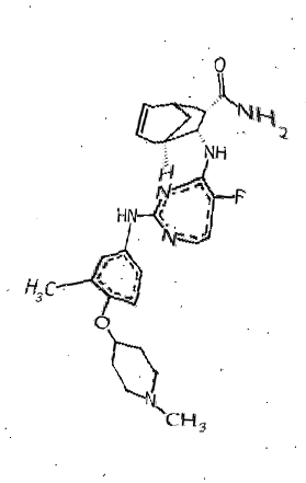 Cc1cc(Nc2ncc(F)c(N[C@@H]3[C@H]4C=CC(C4)[C@@H]3C(N)=O)n2)ccc1OC1CCN(C)CC1